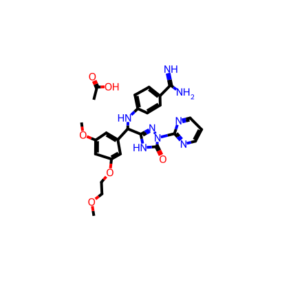 CC(=O)O.COCCOc1cc(OC)cc(C(Nc2ccc(C(=N)N)cc2)c2nn(-c3ncccn3)c(=O)[nH]2)c1